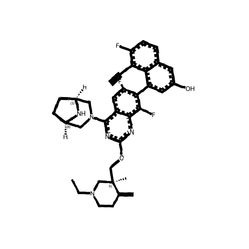 C#Cc1c(F)ccc2cc(O)cc(-c3c(F)cc4c(N5C[C@H]6CC[C@@H](C5)N6)nc(OC[C@]5(C)CN(CC)CCC5=C)nc4c3F)c12